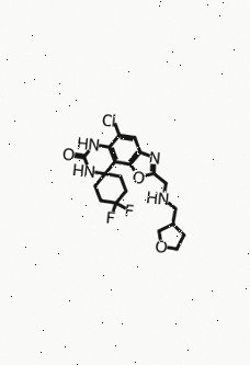 O=C1Nc2c(Cl)cc3nc(CNCC4CCOC4)oc3c2C2(CCC(F)(F)CC2)N1